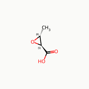 C[C@H]1O[C@@H]1C(=O)O